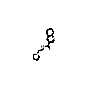 O=C(NCCN1CCCC1)c1cnc2ccccc2c1